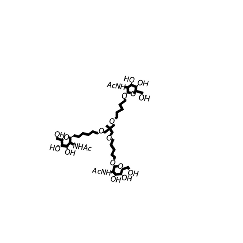 CC(=O)NC1[C@H](OCCCCCOCC(C)(COCCCCCC[C@@H]2OC(CO)[C@H](O)[C@H](O)C2NC(C)=O)COCCCCCO[C@@H]2OC(CO)[C@H](O)[C@H](O)C2NC(C)=O)OC(CO)[C@H](O)[C@@H]1O